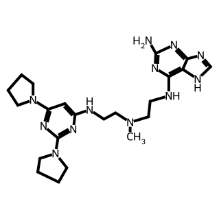 CN(CCNc1cc(N2CCCC2)nc(N2CCCC2)n1)CCNc1nc(N)nc2nc[nH]c12